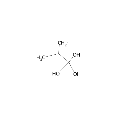 [CH2]C(C)C(O)(O)O